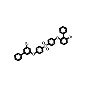 O=S(=O)(c1ccc(Oc2cc(Br)cc(-c3ccccc3)c2)cc1)c1ccc(Oc2cccc(Br)c2-c2ccccc2)cc1